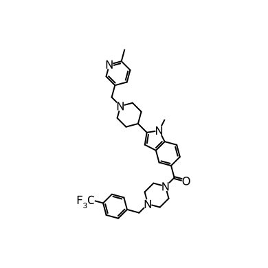 Cc1ccc(CN2CCC(c3cc4cc(C(=O)N5CCN(Cc6ccc(C(F)(F)F)cc6)CC5)ccc4n3C)CC2)cn1